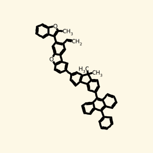 C=Cc1cc2c(cc1-c1c(C)oc3ccccc13)oc1ccc(-c3ccc4c(c3)C(C)(C)c3ccc(-c5c6ccccc6c(-c6ccccc6)c6ccccc56)cc3-4)cc12